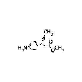 CC#CC(CC(=O)OC)c1ccc(N)cc1